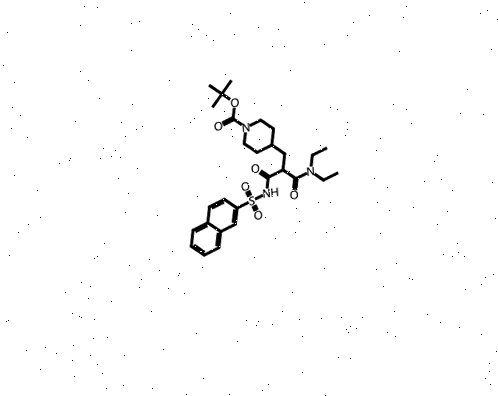 CCN(CC)C(=O)C(CC1CCN(C(=O)OC(C)(C)C)CC1)C(=O)NS(=O)(=O)c1ccc2ccccc2c1